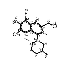 C[C@H]1CC[C@H](C)N(c2nc(CCl)nc3c(F)c(Br)c(Cl)cc23)C1